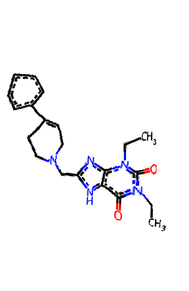 CCn1c(=O)c2[nH]c(CN3CC=C(c4ccccc4)CC3)nc2n(CC)c1=O